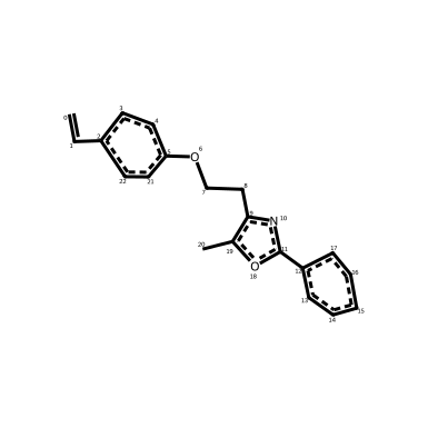 C=Cc1ccc(OCCc2nc(-c3ccccc3)oc2C)cc1